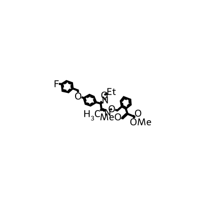 CCON=C(C(C)=NOCc1ccccc1C(=COC)C(=O)OC)c1ccc(OCc2ccc(F)cc2)cc1